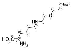 COCCOCCNCCCC[C@@H](N)C(=O)O